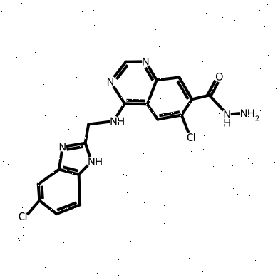 NNC(=O)c1cc2ncnc(NCc3nc4cc(Cl)ccc4[nH]3)c2cc1Cl